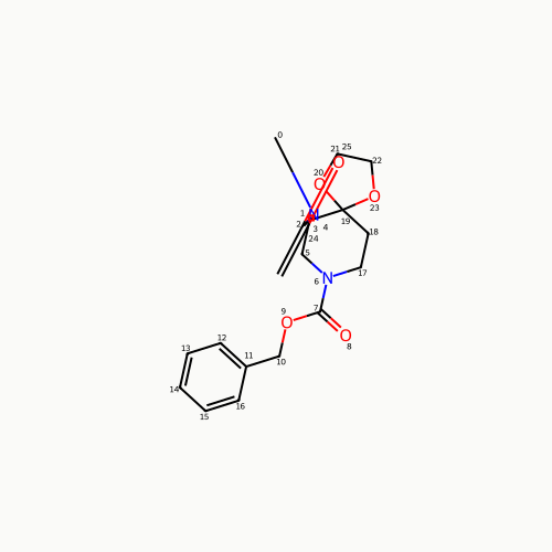 CN1CCC2(CN(C(=O)OCc3ccccc3)CCC23OCCO3)C1=O